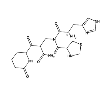 NC(=O)C(CN(C(=O)C1CSCN1)C(=O)[C@@H](N)Cc1c[nH]cn1)C(=O)C1CCCC(=O)N1